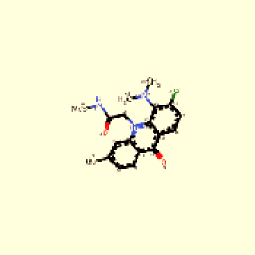 CSNC(=O)Cn1c2cc(C(C)(C)C)ccc2c(=O)c2ccc(Cl)c(N(C)C)c21